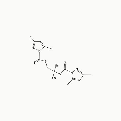 CCC(C#N)(CSC(=S)n1nc(C)cc1C)SC(=S)n1nc(C)cc1C